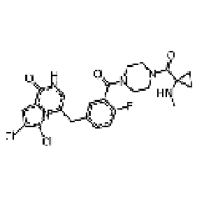 CNC1(C(=O)N2CCN(C(=O)c3cc(Cc4c[nH]c(=O)c5cc(Cl)c(Cl)n45)ccc3F)CC2)CC1